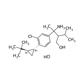 CC(C)C(CO)C(C)(N)c1ccc([C@@H]2C[C@H]2C(C)(C)C)c(Cl)c1.Cl